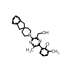 Cc1cccc(-c2nc(CO)c(N3CCC4(CC3)Cc3ccccc3C4)nc2C)c1Cl